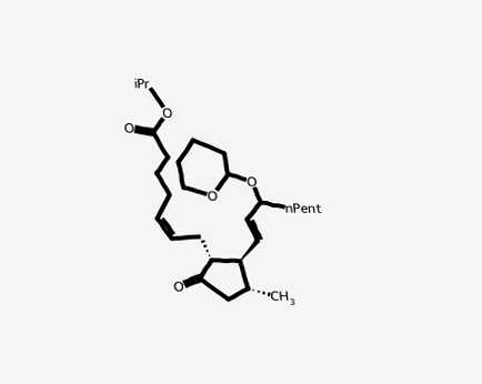 CCCCCC(/C=C/[C@H]1[C@H](C)CC(=O)[C@@H]1C/C=C\CCCC(=O)OC(C)C)OC1CCCCO1